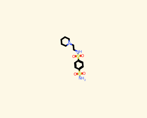 NS(=O)(=O)c1ccc(S(=O)(=O)NCCN2CCCCC2)cc1